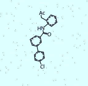 CC(=O)Cc1ccccc1NC(=O)c1cccc(-c2ccc(Cl)cc2)c1